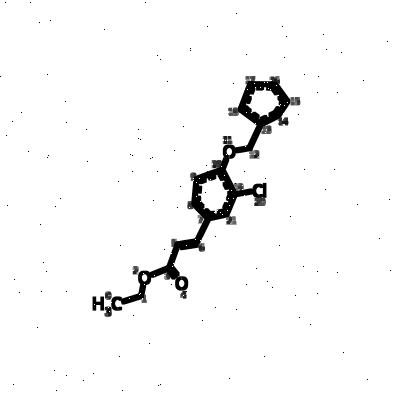 CCOC(=O)/C=C/c1ccc(OCc2ccccc2)c(Cl)c1